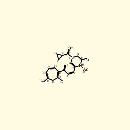 C=C(/C=C\C1=CN(C(=O)C2CC2)CC(C)N1C(C)=O)C1=C(C)CC(C)=CC=C1